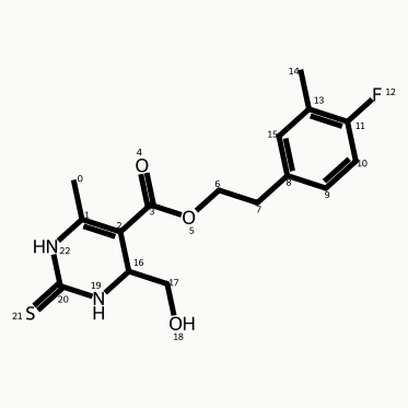 CC1=C(C(=O)OCCc2ccc(F)c(C)c2)C(CO)NC(=S)N1